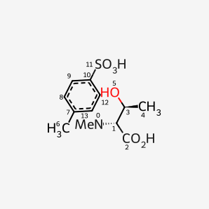 CN[C@@H](C(=O)O)[C@H](C)O.Cc1ccc(S(=O)(=O)O)cc1